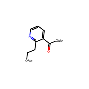 COCCc1ncccc1C(=O)OC